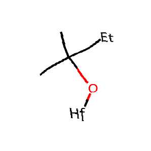 CCC(C)(C)[O][Hf]